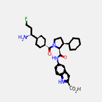 N[C@H](CCF)[C@H]1CC[C@H](C(=O)N2CC[C@@H](C3CCCCC3)[C@H]2C(=O)Nc2ccc3[nH]c(C(=O)O)cc3c2)CC1